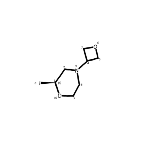 I[C@H]1CN(C2COC2)CCO1